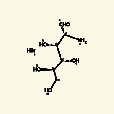 Br.N[C@@H](C=O)[C@@H](O)[C@H](O)[C@H](O)CO